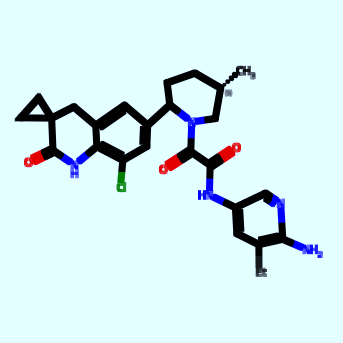 CCc1cc(NC(=O)C(=O)N2C[C@@H](C)CCC2c2cc(Cl)c3c(c2)CC2(CC2)C(=O)N3)cnc1N